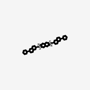 c1ccc(-c2ccc3cc(-c4nc5cc6cc7sc(-c8ccc9cc(-c%10ccccc%10)ccc9c8)nc7cc6cc5s4)ccc3c2)cc1